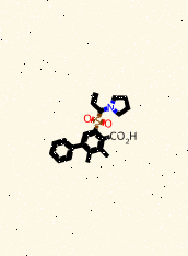 C=CC(N1CCCC1)S(=O)(=O)c1cc(-c2ccccc2)c(C)c(C)c1C(=O)O